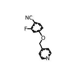 N#Cc1ccc(OCc2ccncc2)cc1F